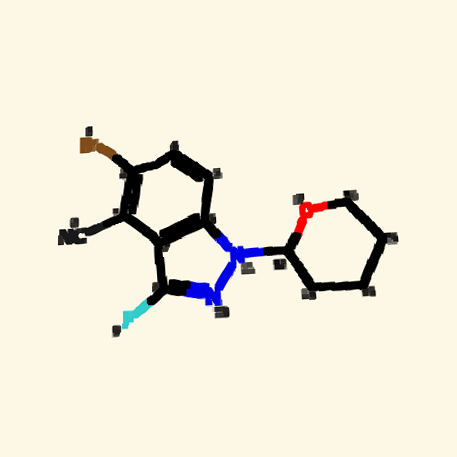 N#Cc1c(Br)ccc2c1c(F)nn2C1CCCCO1